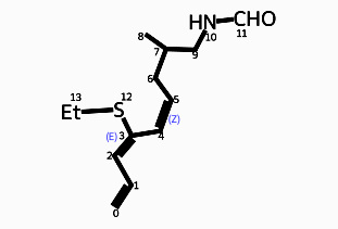 C=C/C=C(\C=C/CC(C)CNC=O)SCC